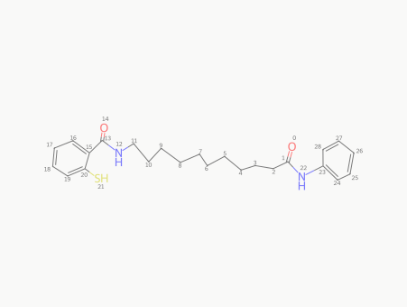 O=C(CCCCCCCCCCNC(=O)c1ccccc1S)Nc1ccccc1